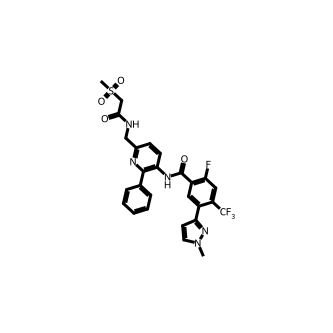 Cn1ccc(-c2cc(C(=O)Nc3ccc(CNC(=O)CS(C)(=O)=O)nc3-c3ccccc3)c(F)cc2C(F)(F)F)n1